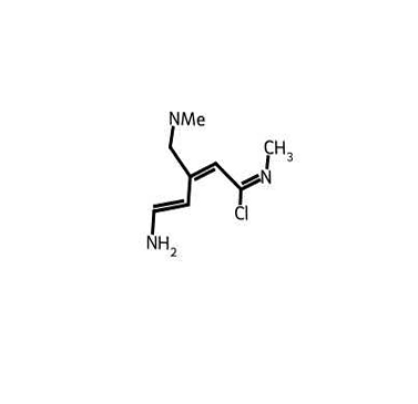 C\N=C(Cl)/C=C(\C=C\N)CNC